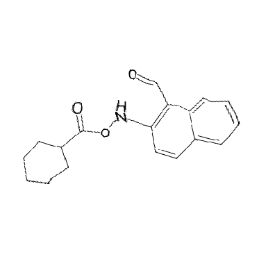 O=Cc1c(NOC(=O)C2CCCCC2)ccc2ccccc12